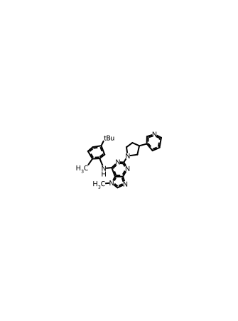 Cc1ccc(C(C)(C)C)cc1Nc1nc(N2CCC(c3cccnc3)C2)nc2ncn(C)c12